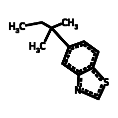 CCC(C)(C)c1ccc2scnc2c1